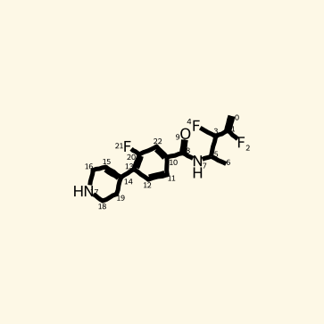 C=C(F)C(F)C(C)NC(=O)c1ccc(C2=CCNCC2)c(F)c1